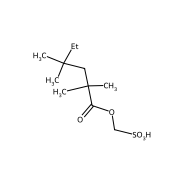 CCC(C)(C)CC(C)(C)C(=O)OCS(=O)(=O)O